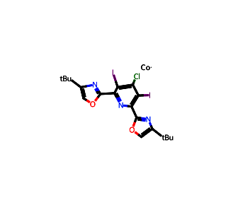 CC(C)(C)c1coc(-c2nc(-c3nc(C(C)(C)C)co3)c(I)c(Cl)c2I)n1.[Co]